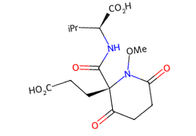 CON1C(=O)CCC(=O)[C@]1(CCC(=O)O)C(=O)N[C@H](C(=O)O)C(C)C